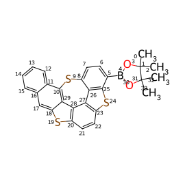 CC1(C)OB(c2ccc3sc4c5ccccc5cc5sc6ccc7sc2c3c7c6c54)OC1(C)C